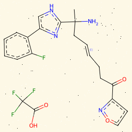 CC(N)(C/C=C/CCC(=O)c1ccon1)c1nc(-c2ccccc2F)c[nH]1.O=C(O)C(F)(F)F